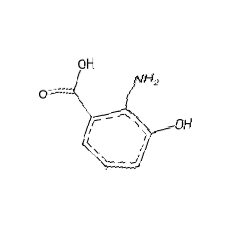 Nc1c(O)c[c]cc1C(=O)O